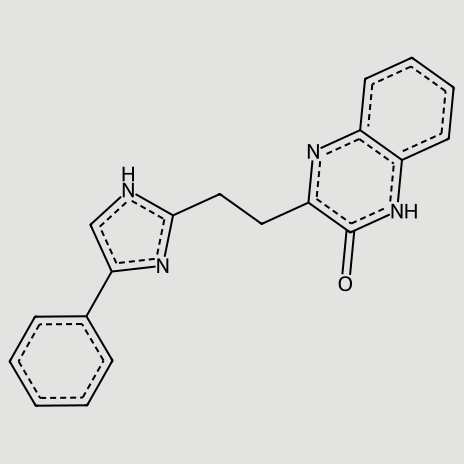 O=c1[nH]c2ccccc2nc1CCc1nc(-c2ccccc2)c[nH]1